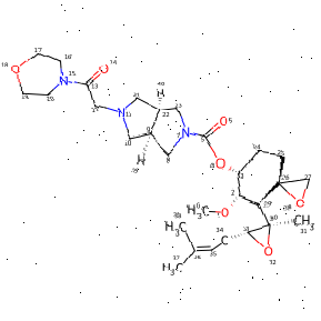 CO[C@@H]1[C@H](OC(=O)N2C[C@H]3CN(CC(=O)N4CCOCC4)C[C@H]3C2)CC[C@]2(CO2)[C@H]1[C@@]1(C)O[C@@H]1CC=C(C)C